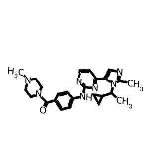 Cc1ncc(-c2ccnc(Nc3ccc(C(=O)N4CCN(C)CC4)cc3)n2)n1C(C)C1CC1